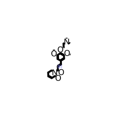 COc1cc(/C=C/C(=O)N2CCC=CC2=O)cc(OC)c1OCCN(C)C